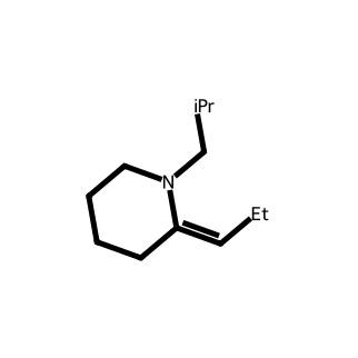 CC/C=C1/CCCCN1CC(C)C